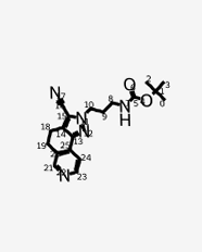 CC(C)(C)OC(=O)NCCCn1nc2c(c1C#N)CCc1cnccc1-2